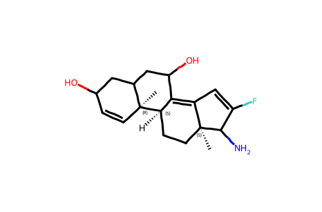 C[C@]12CC[C@@H]3C(=C1C=C(F)C2N)C(O)CC1CC(O)C=C[C@@]13C